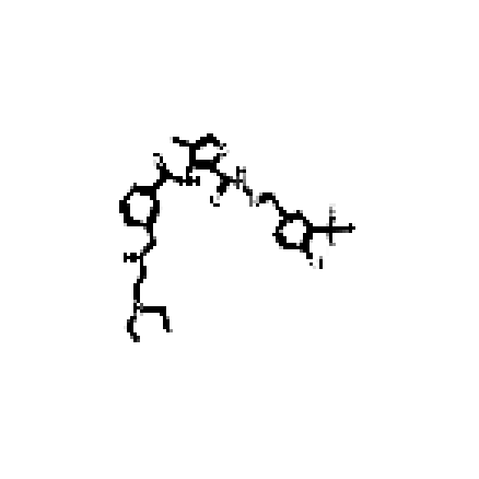 CCN(CC)CCNCc1cccc(C(=O)Nc2c(C)csc2C(=O)NN=Cc2ccc(Cl)c(C(F)(F)F)c2)c1